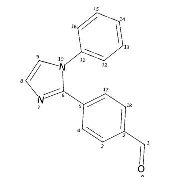 O=Cc1ccc(-c2nccn2-c2ccccc2)cc1